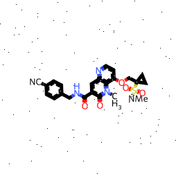 CNS(=O)(=O)C1(COc2ccnc3cc(C(=O)NCc4ccc(C#N)cc4)c(=O)n(C)c23)CC1